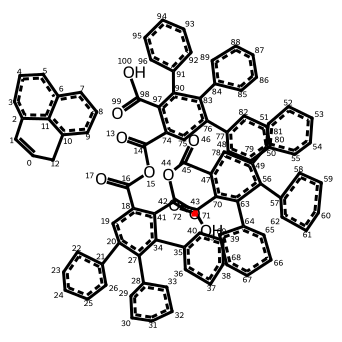 C1=Cc2cccc3cccc(c23)C1.O=C(OC(=O)c1cc(-c2ccccc2)c(-c2ccccc2)c(-c2ccccc2)c1C(=O)OC(=O)c1cc(-c2ccccc2)c(-c2ccccc2)c(-c2ccccc2)c1C(=O)O)c1cc(-c2ccccc2)c(-c2ccccc2)c(-c2ccccc2)c1C(=O)O